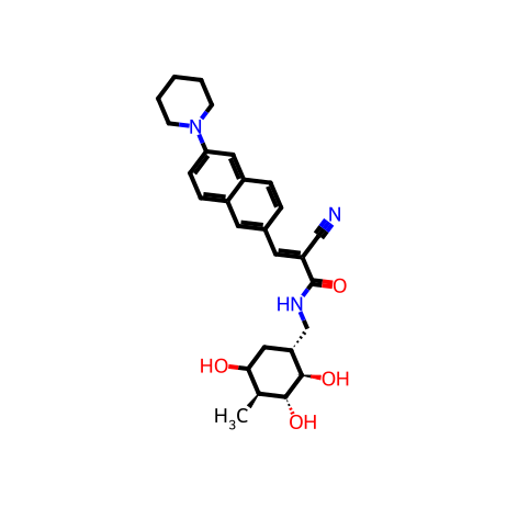 C[C@H]1C(O)C[C@H](CNC(=O)/C(C#N)=C/c2ccc3cc(N4CCCCC4)ccc3c2)[C@@H](O)[C@@H]1O